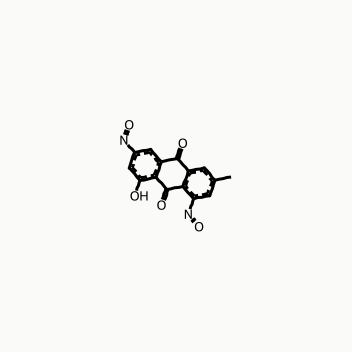 Cc1cc(N=O)c2c(c1)C(=O)c1cc(N=O)cc(O)c1C2=O